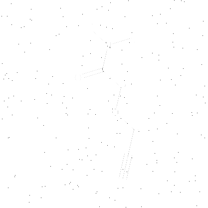 C#CCOCC(=O)N(C)C